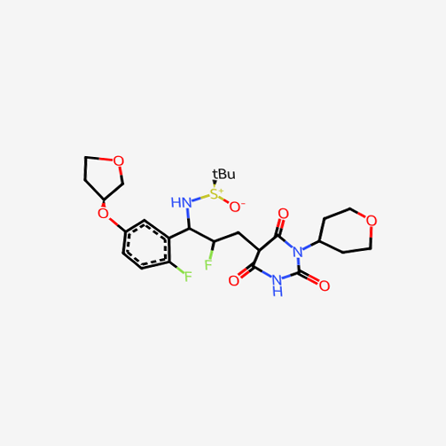 CC(C)(C)[S@@+]([O-])NC(c1cc(O[C@H]2CCOC2)ccc1F)C(F)CC1C(=O)NC(=O)N(C2CCOCC2)C1=O